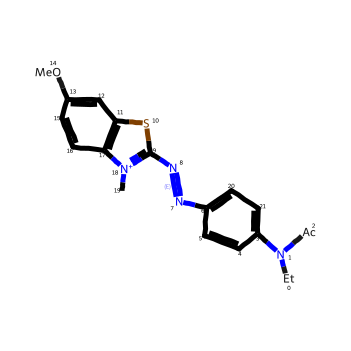 CCN(C(C)=O)c1ccc(/N=N/c2sc3cc(OC)ccc3[n+]2C)cc1